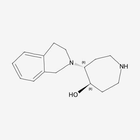 O[C@@H]1CCNCC[C@H]1N1CCc2ccccc2C1